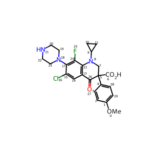 COc1ccc(C2(C(=O)O)CN(C3CC3)c3c(cc(Cl)c(N4CCNCC4)c3F)C2=O)cc1